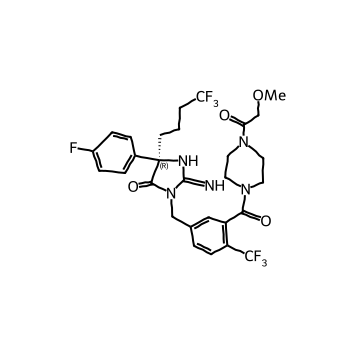 COCC(=O)N1CCN(C(=O)c2cc(CN3C(=N)N[C@](CCCC(F)(F)F)(c4ccc(F)cc4)C3=O)ccc2C(F)(F)F)CC1